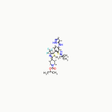 CC(C)OC(=O)N1CCC(c2nc(C(F)(F)F)c(-c3ccc(Nc4ccn[nH]4)cc3SNC(C)(C)C)s2)CC1